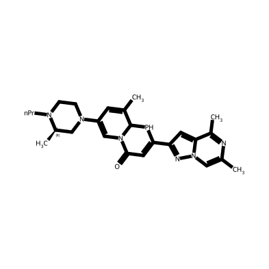 CCCN1CCN(C2=CN3C(=O)C=C(c4cc5c(C)nc(C)cn5n4)PC3C(C)=C2)C[C@H]1C